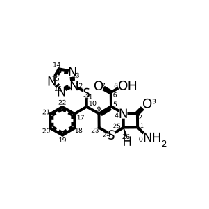 NC1C(=O)N2C(C(=O)O)=C(C(Sn3ncnn3)c3ccccc3)CS[C@@H]12